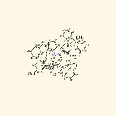 CC1C=CC(N(c2ccccc2-c2ccc3c(c2)C(C)(c2ccccc2)c2ccccc2-3)c2ccccc2-c2cccc3cccc(-c4cc(C(C)(C)C)cc(C(C)(C)C)c4)c23)=C2c3ccccc3C(C)(c3ccccc3)C21